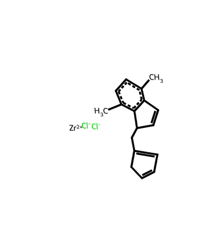 Cc1ccc(C)c2c1C=CC2CC1=CC=CC1.[Cl-].[Cl-].[Zr+2]